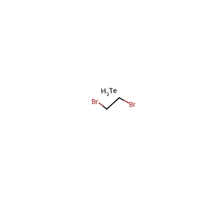 BrCCBr.[TeH2]